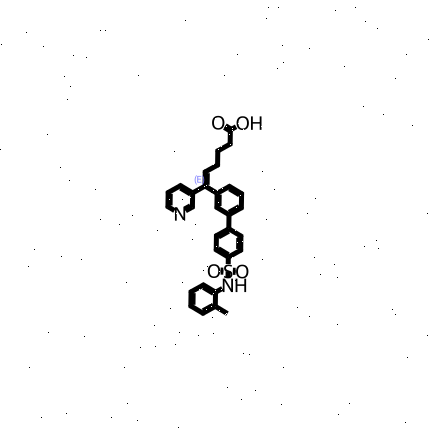 Cc1ccccc1NS(=O)(=O)c1ccc(-c2cccc(/C(=C\CCCC(=O)O)c3cccnc3)c2)cc1